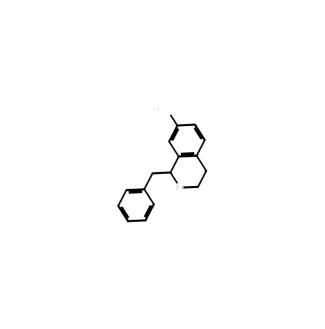 COc1ccc2c(c1)C(Cc1ccccc1)NCC2